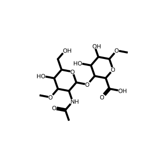 COC1OC(C(=O)O)C(OC2OC(CO)C(O)C(OC)C2NC(C)=O)C(O)C1O